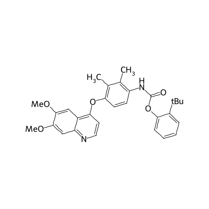 COc1cc2nccc(Oc3ccc(NC(=O)Oc4ccccc4C(C)(C)C)c(C)c3C)c2cc1OC